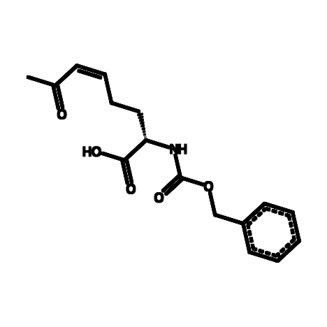 CC(=O)/C=C\CC[C@H](NC(=O)OCc1ccccc1)C(=O)O